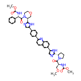 COC[C@H](NC(=O)OC)C(=O)N1CCC[C@H]1c1ncc(-c2ccc3nc(-c4ccc(-c5cnc([C@@H]6COCCN6C(=O)[C@@H](NC(=O)OC)c6ccccc6)[nH]5)cc4)ccc3c2)[nH]1